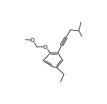 CCc1ccc(OCOC)c(C#CCC(C)C)c1